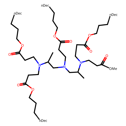 CCCCCCCCCCCCCOC(=O)CCN(CC(C)N(CCC(=O)OC)CCC(=O)OCCCCCCCCCCCCC)CC(C)N(CCC(=O)OCCCCCCCCCCCCC)CCC(=O)OCCCCCCCCCCCCC